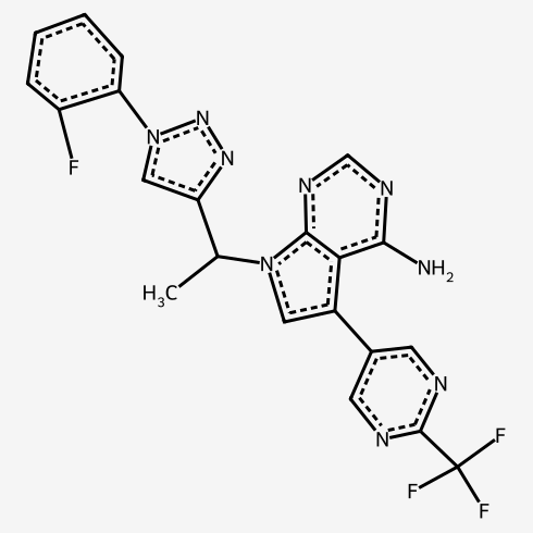 CC(c1cn(-c2ccccc2F)nn1)n1cc(-c2cnc(C(F)(F)F)nc2)c2c(N)ncnc21